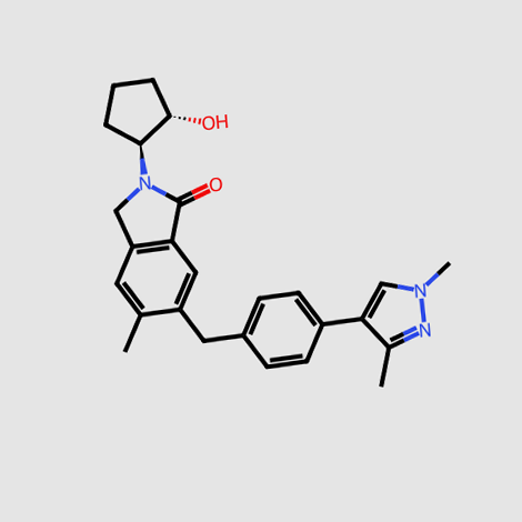 Cc1cc2c(cc1Cc1ccc(-c3cn(C)nc3C)cc1)C(=O)N([C@H]1CCC[C@@H]1O)C2